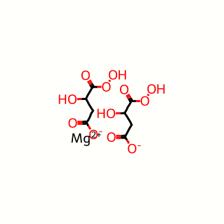 O=C([O-])CC(O)C(=O)OO.O=C([O-])CC(O)C(=O)OO.[Mg+2]